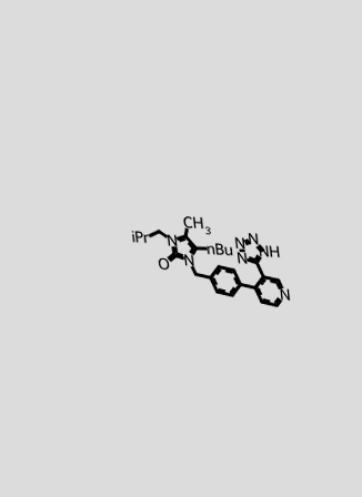 CCCCc1c(C)n(CC(C)C)c(=O)n1Cc1ccc(-c2ccncc2-c2nnn[nH]2)cc1